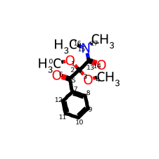 COC(OC)(C(=O)c1ccccc1)C(=O)N(C)C